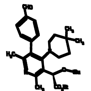 CCOC(=O)[C@@H](OC(C)(C)C)c1c(C)nc(C)c(-c2ccc(C=O)cc2)c1N1CCC(C)(C)CC1